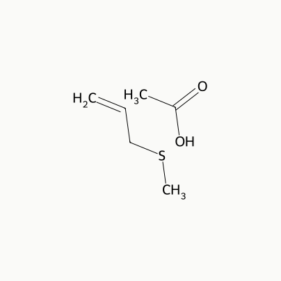 C=CCSC.CC(=O)O